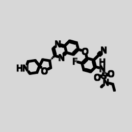 CCN(C)S(=O)(=O)Nc1ccc(F)c(Oc2ccc3ncc([C@@H]4COC5(CCNCC5)C4)nc3c2)c1C#N